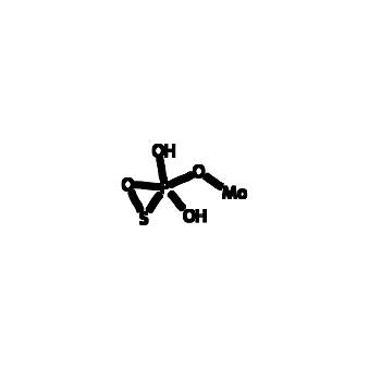 OP1(O)([O][Mo])OS1